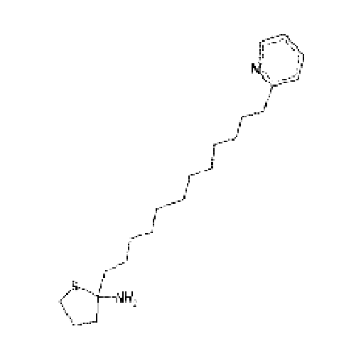 NC1(CCCCCCCCCCCCc2ccccn2)CCCS1